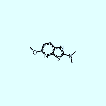 COc1ccc2nc(N(C)C)sc2n1